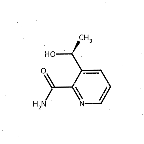 C[C@H](O)c1cccnc1C(N)=O